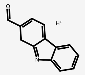 O=CC1=CC=C2C(=Nc3ccccc32)C1.[H+]